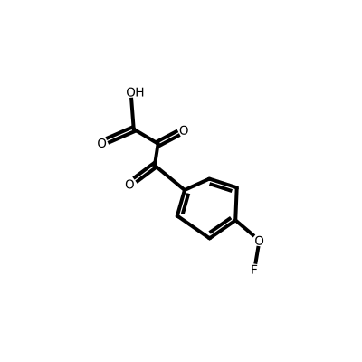 O=C(O)C(=O)C(=O)c1ccc(OF)cc1